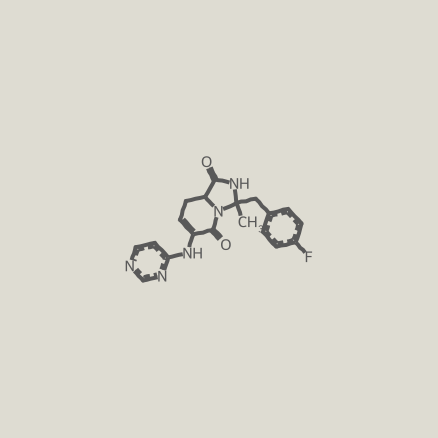 CC1(Cc2ccc(F)cc2)NC(=O)C2CC=C(Nc3ccncn3)C(=O)N21